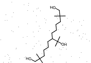 CC(C)(CO)CCCCC(CCCCC(C)(C)CO)C(C)(C)O